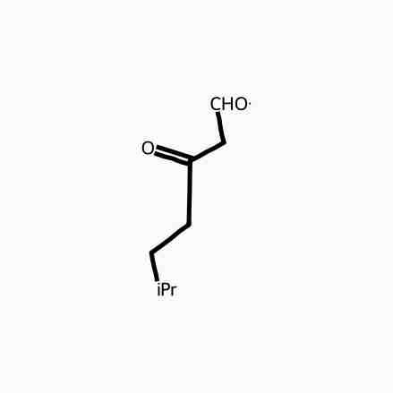 CC(C)CCC(=O)C[C]=O